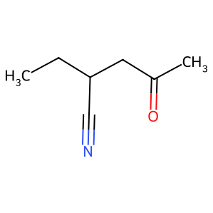 CCC(C#N)CC(C)=O